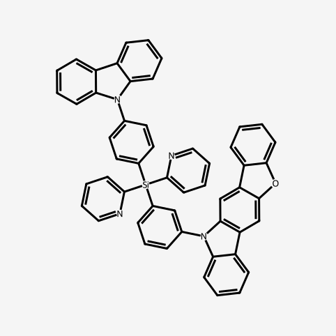 c1ccc([Si](c2ccc(-n3c4ccccc4c4ccccc43)cc2)(c2cccc(-n3c4ccccc4c4cc5oc6ccccc6c5cc43)c2)c2ccccn2)nc1